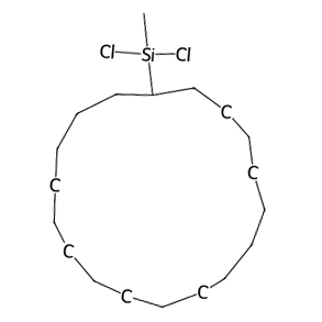 C[Si](Cl)(Cl)C1CCCCCCCCCCCCCCCCC1